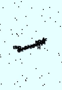 CC(=O)SC(C)(C)CC(=O)NC(N)CCOCCCCOCCCC(=O)OC(C)(C)C